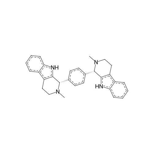 CN1CCc2c([nH]c3ccccc23)[C@@H]1c1ccc([C@H]2c3[nH]c4ccccc4c3CCN2C)cc1